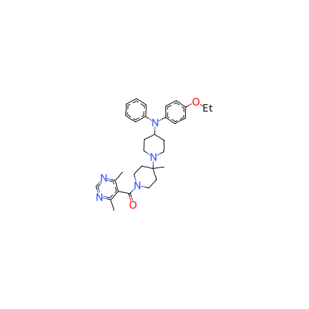 CCOc1ccc(N(c2ccccc2)C2CCN(C3(C)CCN(C(=O)c4c(C)ncnc4C)CC3)CC2)cc1